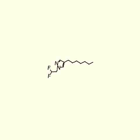 CCCCCCCc1cnn(CC(F)F)c1